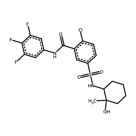 CC1(O)CCCCC1NS(=O)(=O)c1ccc(Cl)c(C(=O)Nc2cc(F)c(F)c(F)c2)c1